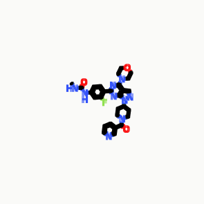 CNC(=O)Nc1ccc(-c2nc(N3CCOCC3)c3cnn(C4CCN(C(=O)c5cccnc5)CC4)c3n2)c(F)c1